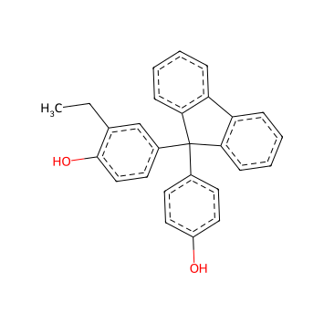 CCc1cc(C2(c3ccc(O)cc3)c3ccccc3-c3ccccc32)ccc1O